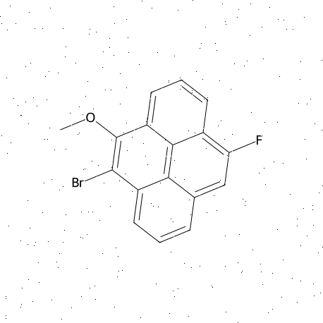 COc1c(Br)c2cccc3cc(F)c4cccc1c4c32